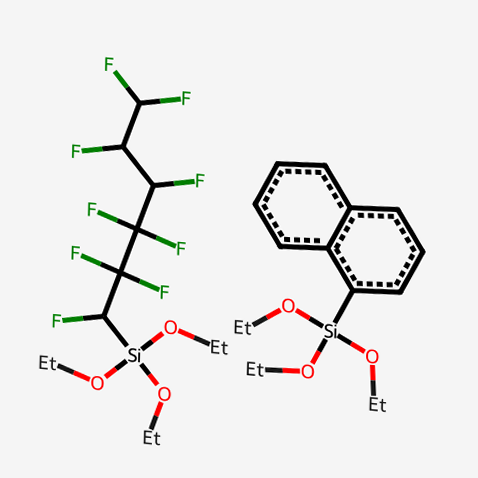 CCO[Si](OCC)(OCC)C(F)C(F)(F)C(F)(F)C(F)C(F)C(F)F.CCO[Si](OCC)(OCC)c1cccc2ccccc12